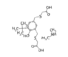 CC(C)(C)c1cc(CSCC(=O)O)cc(CSCC(=O)O)c1O.CNC